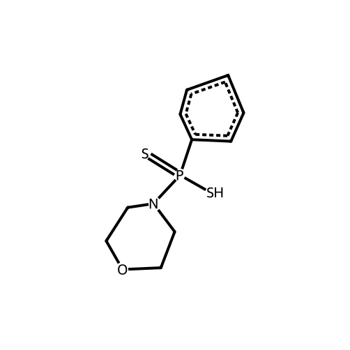 S=P(S)(c1ccccc1)N1CCOCC1